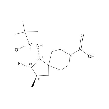 C[C@@H]1CC2(CCN(C(=O)O)CC2)[C@@H](N[S@+]([O-])C(C)(C)C)[C@H]1F